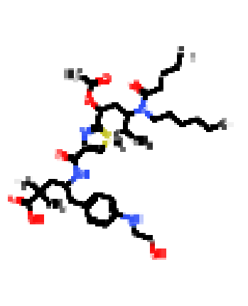 CCCCCCN(C(=O)CCCC)C(CC(OC(C)=O)c1nc(C(=O)NC(Cc2ccc(NCCO)cc2)CC(C)(C)C(=O)O)cs1)C(C)C